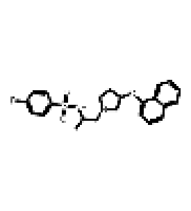 CC(CN1CCC(Oc2cccc3ccccc23)C1)NS(=O)(=O)c1ccc(F)cc1